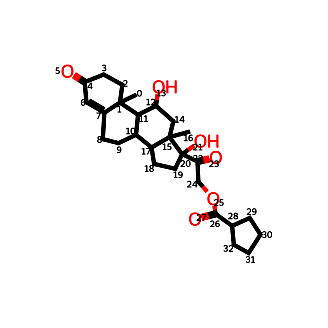 CC12CCC(=O)C=C1CCC1C2C(O)CC2(C)C1CCC2(O)C(=O)COC(=O)C1CCCC1